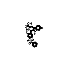 CN(c1ccc(C2NC(C(=O)O)Cc3c2[nH]c2cc(F)ccc32)c(F)c1)S(=O)(=O)c1ccccc1